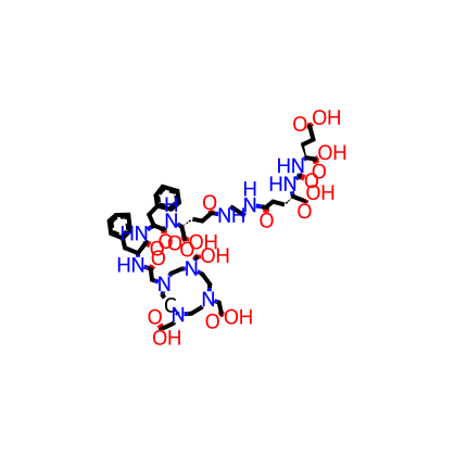 O=C(O)CC[C@H](NC(=O)N[C@@H](CCC(=O)NCCNC(=O)CC[C@@H](NC(=O)C(Cc1ccccc1)NC(=O)C(Cc1ccccc1)NC(=O)CN1CCN(CC(=O)O)CCN(CC(=O)O)CCN(C(=O)O)CC1)C(=O)O)C(=O)O)C(=O)O